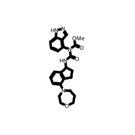 COC(=O)N(C(=O)NC1CCc2c1cccc2N1CCCOCC1)c1cccc2[nH]ncc12